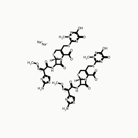 CO/N=C(\C(=O)NC1C(=O)N2C(C(=O)[O-])=C(CSc3nc(=O)c(O)nn3C)CS[C@@H]12)c1csc(N)n1.CO/N=C(\C(=O)NC1C(=O)N2C(C(=O)[O-])=C(CSc3nc(=O)c(O)nn3C)CS[C@@H]12)c1csc(N)n1.[Na+].[Na+]